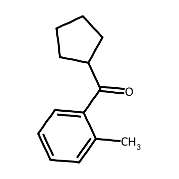 Cc1ccccc1C(=O)C1CCCC1